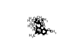 CC[C@]12C[C@]3([C@](C)(O)C(C)(C)C)C[C@]3(OC)[C@@H]3Oc4c(OC)ccc5c4[C@@]31CC1(C5)[C@H]2[C@@H]1C